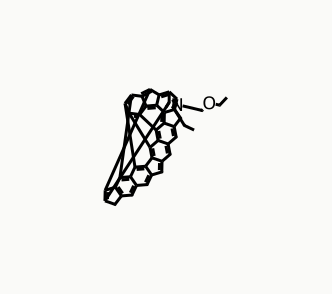 CCOCN1CC2C3=c4c5c6c7c(cc8cc9cc%10cc%11cc%12c%13c(c4c4c5c5c7c8c7c9c%10c8c%11c%13c4c8c75)=C(C3)C%12)CC62C1CC